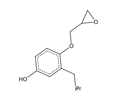 CC(C)Cc1cc(O)ccc1OCC1CO1